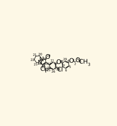 COCOc1cccc(Oc2cc(-c3c(Cl)n4n(c3=O)CCCC4)c(F)cc2Cl)c1